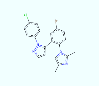 Cc1cn(-c2ccc(Br)cc2-c2ccnn2-c2ccc(Cl)cc2)c(C)n1